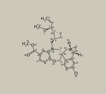 C=C[C@H](OC)[C@@H]1CC[C@H]1CN1C[C@]2(COc3ccc(C(=O)OC)cc31)C[C@@H]1C[C@@H]1c1cc(Cl)ccc12